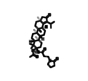 CC(=O)O[C@@]1(NC(=O)CCN2CCCC2=O)CC[C@]2(C)[C@H]3CC[C@@H]4C5=C(C(C)C)C(=O)C[C@]5(C)CC[C@@]4(C)[C@]3(C)CC[C@H]2C1(C)C